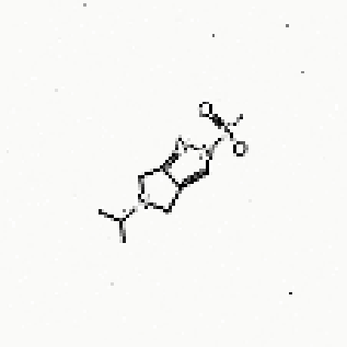 CC(C)N1Cc2cn(S(C)(=O)=O)nc2C1